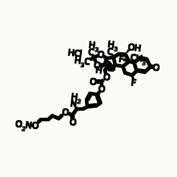 CC1(C)O[C@@H]2CC3C4C[C@H](F)C5=CC(=O)C=C[C@]5(C)[C@@]4(F)[C@@H](O)C[C@]3(C)[C@]2(C(=O)COC(=O)Oc2ccc(C[C@H](N)C(=O)OCCCCO[N+](=O)[O-])cc2)O1.Cl